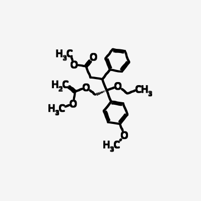 C=C(OC)OC[C@](OCC)(c1ccc(OC)cc1)C(CC(=O)OC)c1ccccc1